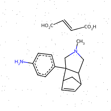 CN1CC2C3C=CC(C3)C2(c2ccc(N)cc2)C1.O=C(O)C=CC(=O)O